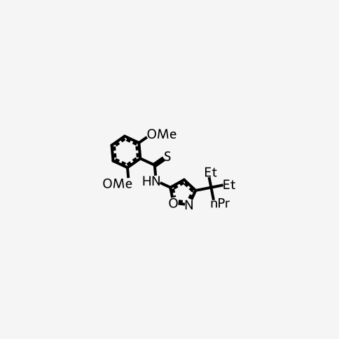 CCCC(CC)(CC)c1cc(NC(=S)c2c(OC)cccc2OC)on1